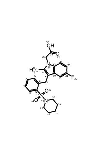 Cc1c(Cc2ccccc2S(=O)(=O)N2CCCCC2)c2cc(F)ccc2n1CC(=O)O